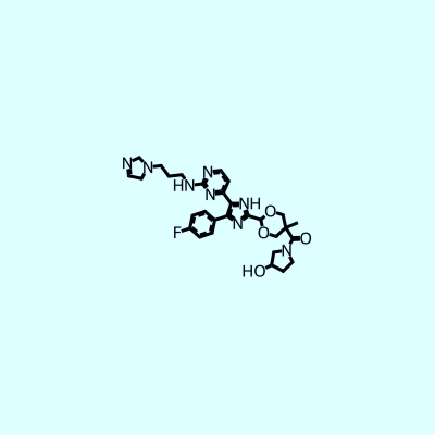 CC1(C(=O)N2CCC(O)C2)COC(c2nc(-c3ccc(F)cc3)c(-c3ccnc(NCCCN4CC=NC4)n3)[nH]2)OC1